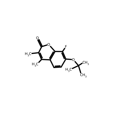 Cc1c(C)c2ccc(OC(C)(C)C)c(F)c2oc1=O